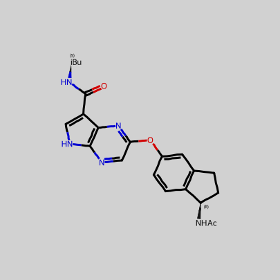 CC[C@H](C)NC(=O)c1c[nH]c2ncc(Oc3ccc4c(c3)CC[C@H]4NC(C)=O)nc12